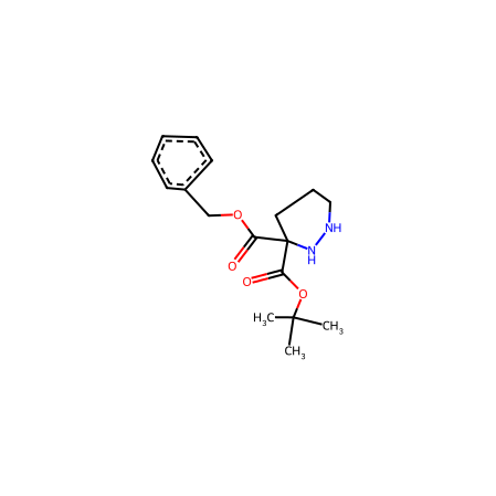 CC(C)(C)OC(=O)C1(C(=O)OCc2ccccc2)CCCNN1